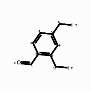 O=Cc1ccc(CI)cc1CI